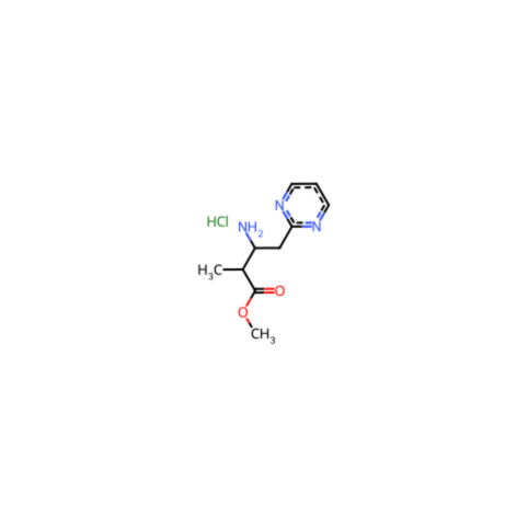 COC(=O)C(C)C(N)Cc1ncccn1.Cl